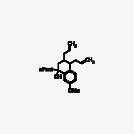 C=CCC1CC(O)(CCCCC)c2cc(OC)ccc2C1CC=C